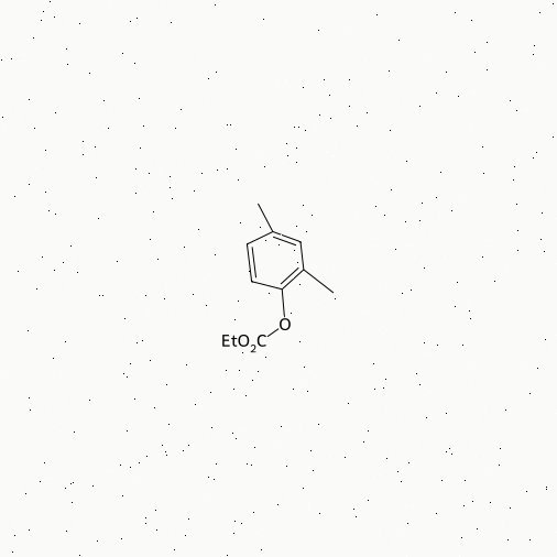 C[CH]OC(=O)Oc1ccc(C)cc1C